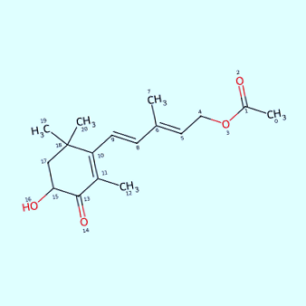 CC(=O)OC/C=C(C)/C=C/C1=C(C)C(=O)C(O)CC1(C)C